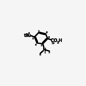 CN(C)c1cc(C(C)(C)C)ccc1C(=O)O